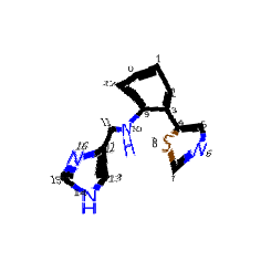 c1ccc(-c2cncs2)c(NCc2c[nH]cn2)c1